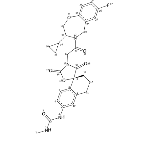 CNC(=O)Nc1ccc2c(c1)CCC[C@]21OC(=O)N(CC(=O)N2Cc3cc(F)ccc3OC[C@H]2C2CC2)C1=O